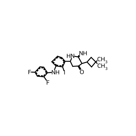 CC1(C)CC(C2C(=N)NC(c3cccc(Nc4ccc(F)cc4F)c3I)CC2=O)C1